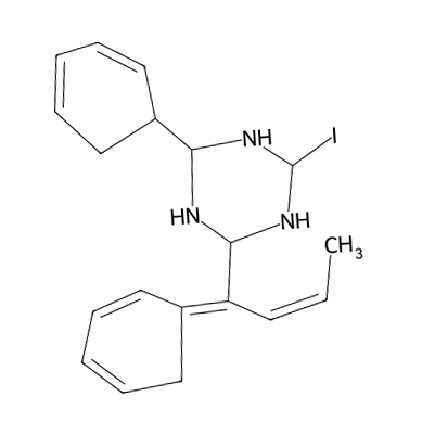 C/C=C\C(=C1\C=CC=CC1)C1NC(I)NC(C2C=CC=CC2)N1